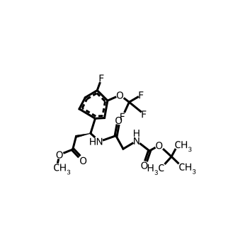 COC(=O)C[C@H](NC(=O)CNC(=O)OC(C)(C)C)c1ccc(F)c(OC(F)(F)F)c1